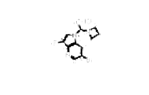 O=CC(N1CCC1)n1cc(F)c2ncc(Br)cc21